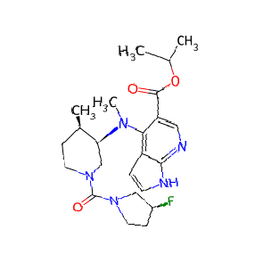 CC(C)OC(=O)c1cnc2[nH]ccc2c1N(C)[C@H]1CN(C(=O)N2CC[C@H](F)C2)CC[C@H]1C